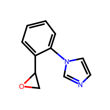 c1ccc(-n2ccnc2)c(C2CO2)c1